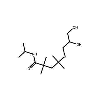 CC(C)NC(=O)C(C)(C)CC(C)(C)SCC(O)CO